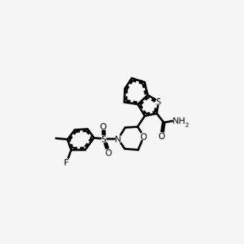 Cc1ccc(S(=O)(=O)N2CCOC(c3c(C(N)=O)sc4ccccc34)C2)cc1F